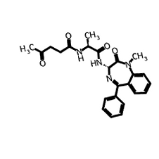 CC(=O)CCC(=O)N[C@@H](C)C(=O)N[C@H]1N=C(c2ccccc2)c2ccccc2N(C)C1=O